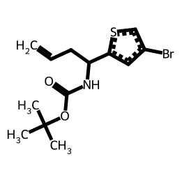 C=CCC(NC(=O)OC(C)(C)C)c1cc(Br)cs1